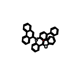 c1ccc(-c2ccc(N(c3ccccc3-c3cc4ccccc4o3)c3cc4ccccc4c4ccccc34)cc2)cc1